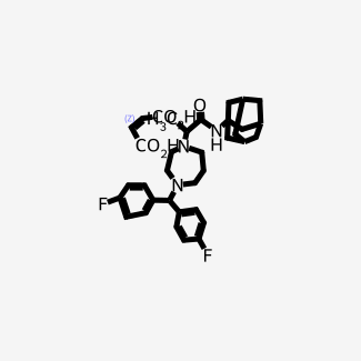 CC(C(=O)NC12CC3CC(CC(C3)C1)C2)N1CCCN(C(c2ccc(F)cc2)c2ccc(F)cc2)CC1.O=C(O)/C=C\C(=O)O